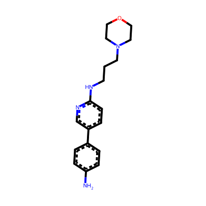 Nc1ccc(-c2ccc(NCCCN3CCOCC3)nc2)cc1